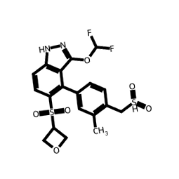 Cc1cc(-c2c(S(=O)(=O)C3COC3)ccc3[nH]nc(OC(F)F)c23)ccc1C[SH](=O)=O